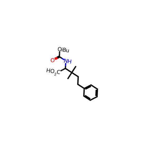 CC(C)COC(=O)NC(C(=O)O)C(C)(C)CCc1ccccc1